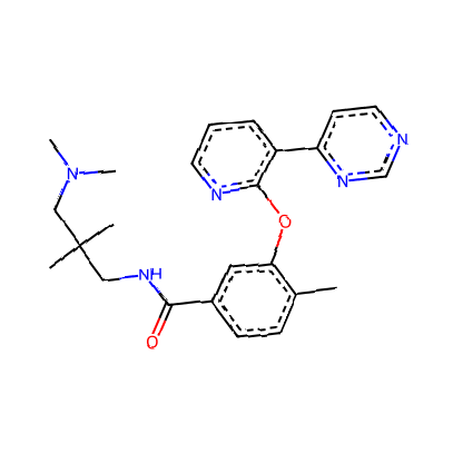 Cc1ccc(C(=O)NCC(C)(C)CN(C)C)cc1Oc1ncccc1-c1ccncn1